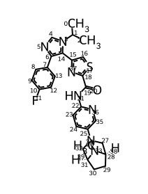 CC(C)n1cnc(-c2ccc(F)cc2)c1-c1csc(C(=O)Nc2ccc(N3C[C@H]4CC[C@@H](C3)N4C)cn2)n1